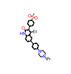 CCc1c(-c2ccc(S(C)(=O)=O)cc2)c(=O)[nH]c2ccc(-c3ccc(N4CCN(C(C)C)CC4)cc3)cc12